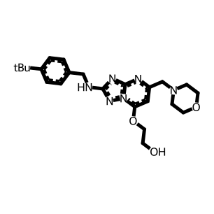 CC(C)(C)c1ccc(CNc2nc3nc(CN4CCOCC4)cc(OCCO)n3n2)cc1